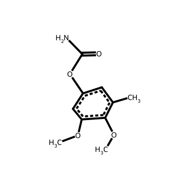 COc1cc(OC(N)=O)cc(C)c1OC